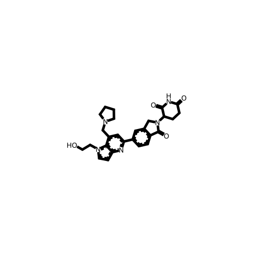 O=C1CCC(N2Cc3cc(-c4cc(CN5CCCC5)c5c(ccn5CCO)n4)ccc3C2=O)C(=O)N1